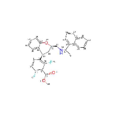 COC(=O)c1c(F)ccc([C@@H]2C[C@H](CNC(C)c3cccc4ccccc34)Oc3ccccc32)c1F